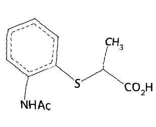 CC(=O)Nc1ccccc1SC(C)C(=O)O